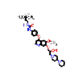 COc1cc2c(Oc3ccc(NC(=O)NCCC(C)(C)C)cc3)ccnc2cc1OCC(O)CN1CCC(N2CCCCC2)CC1